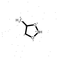 CC1COBO1